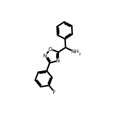 NC(c1ccccc1)c1nc(-c2cccc(F)c2)no1